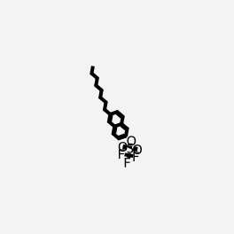 CCCCCCCCc1ccc2cc(OS(=O)(=O)C(F)(F)F)ccc2c1